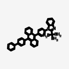 BC(B)(B)c1nc2ccccc2n1-c1ccc(-c2c3ccccc3c(-c3ccc(-c4ccccc4)cc3)c3ccccc23)cc1